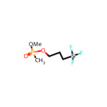 COP(C)(=O)OCCC[Si](F)(F)F